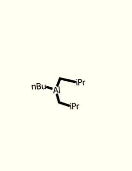 CCC[CH2][Al]([CH2]C(C)C)[CH2]C(C)C